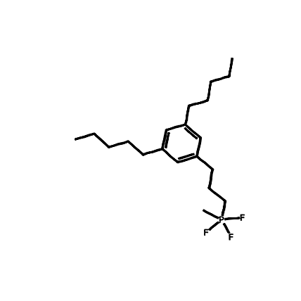 CCCCCc1cc(CCCCC)cc(CCCP(C)(F)(F)F)c1